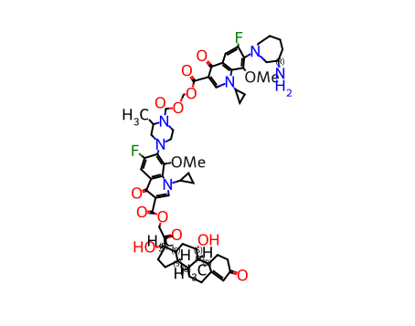 COc1c(N2CCN(C(=O)OCOC(=O)c3cn(C4CC4)c4c(OC)c(N5CCCC[C@@H](N)C5)c(F)cc4c3=O)C(C)C2)c(F)cc2c(=O)c(C(=O)OCC(=O)[C@@]3(O)CC[C@H]4[C@@H]5CCC6=CC(=O)CC[C@]6(C)[C@H]5[C@@H](O)C[C@@]43C)cn(C3CC3)c12